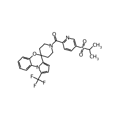 CC(C)S(=O)(=O)c1ccc(C(=O)N2CCC3(CC2)Oc2ccccc2-n2c(C(F)(F)F)ccc23)nc1